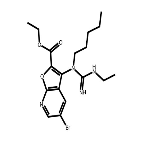 CCCCCN(C(=N)NCC)c1c(C(=O)OCC)oc2ncc(Br)cc12